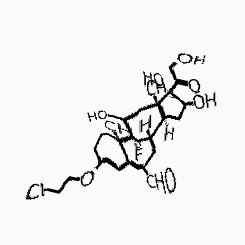 C[C@]12CCC(OCCCl)=CC1=C(C=O)C[C@H]1[C@@H]3CC(O)[C@](O)(C(=O)CO)[C@@]3(C)CC(O)[C@@]12F